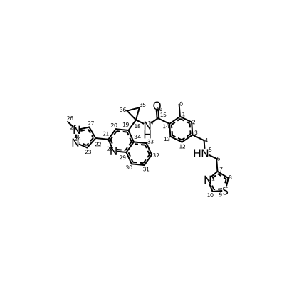 Cc1cc(CNCc2cscn2)ccc1C(=O)NC1(c2cc(-c3cnn(C)c3)nc3ccccc23)CC1